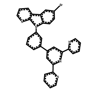 Brc1ccc2c(c1)c1cccnc1n2-c1cccc(-c2cc(-c3ccccn3)nc(-c3ccccn3)c2)c1